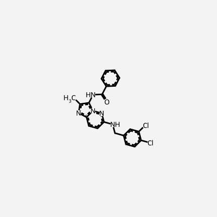 Cc1nc2ccc(NCc3ccc(Cl)c(Cl)c3)nn2c1NC(=O)c1ccccc1